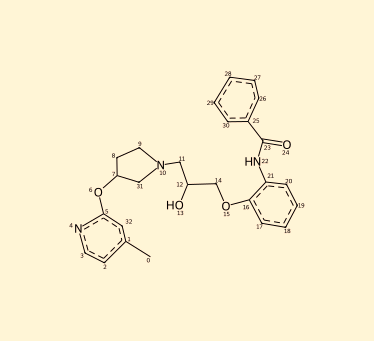 Cc1ccnc(OC2CCN(CC(O)COc3ccccc3NC(=O)c3ccccc3)C2)c1